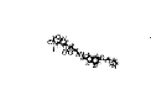 O=C1COc2ncc(N3CC(CCNCC4Cc5cc(OCCn6ccnc6)cc(F)c5C4)OC3=O)nc2N1